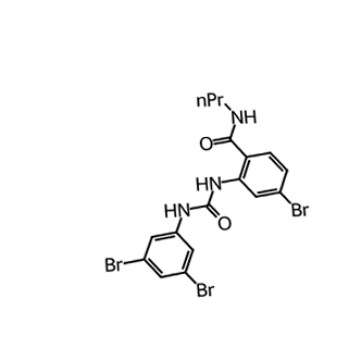 CCCNC(=O)c1ccc(Br)cc1NC(=O)Nc1cc(Br)cc(Br)c1